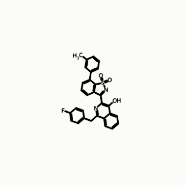 Cc1cccc(-c2cccc3c2S(=O)(=O)N=C3c2nc(Cc3ccc(F)cc3)c3ccccc3c2O)c1